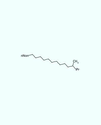 CCCCCCCCCCCCCCCCCCCC(C)[C](C)C